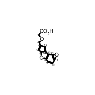 O=C(O)COCC1=CC2Oc3ccc4c(c3C2=C1)O4